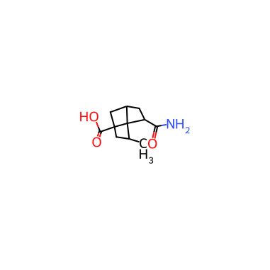 CC1CC2(C(=O)O)CC3CC(C(N)=O)C132